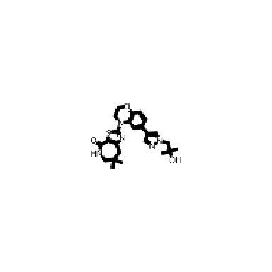 CC(C)(O)Cn1cc(-c2ccc3c(c2)N(c2nc4c(s2)C(=O)NCC(C)(C)C4)CCO3)cn1